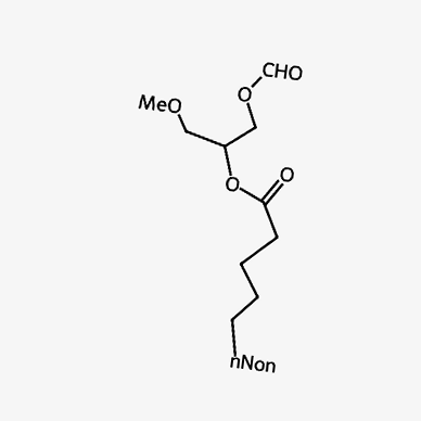 CCCCCCCCCCCCCC(=O)OC(COC)COC=O